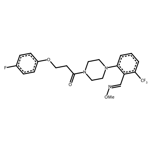 CON=Cc1c(N2CCN(C(=O)CCOc3ccc(F)cc3)CC2)cccc1C(F)(F)F